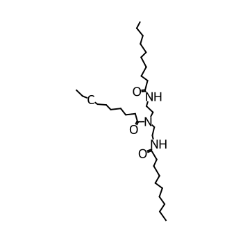 CCCCCCCCCC(=O)NCCN(CCNC(=O)CCCCCCCCC)C(=O)CCCCCCCCC